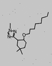 CCCCCCCCOC1CCC(C)(C)CC1c1ncn(C)n1